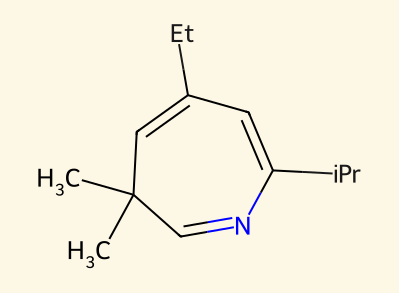 CCC1=CC(C)(C)C=NC(C(C)C)=C1